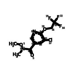 CON(C)C(=O)c1cnc(OCC(F)(F)F)c(Cl)c1